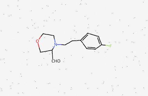 O=CC1COCCN1CCc1ccc(F)cc1